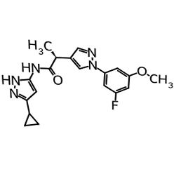 COc1cc(F)cc(-n2cc([C@H](C)C(=O)Nc3cc(C4CC4)n[nH]3)cn2)c1